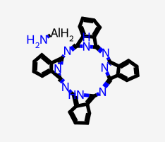 [NH2][AlH2].c1ccc2c(c1)-c1nc-2nc2[nH]c(nc3nc(nc4[nH]c(n1)c1ccccc41)-c1ccccc1-3)c1ccccc21